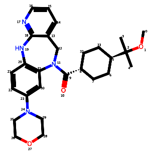 COC(C)(C)[C@H]1CC[C@H](C(=O)N2Cc3cccnc3Nc3ccc(N4CCOCC4)cc32)CC1